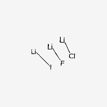 [Li][Cl].[Li][F].[Li][I]